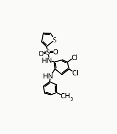 Cc1cccc(Nc2cc(Cl)c(Cl)cc2NS(=O)(=O)c2cccs2)c1